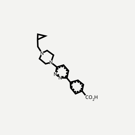 O=C(O)c1ccc(-c2ccc(N3CCN(CC4CC4)CC3)nn2)cc1